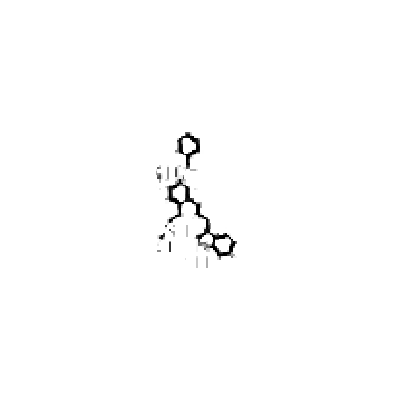 C=CNCCc1cc(OC)c(OCc2ccccc2)cc1CCCC1CNc2ccccc21